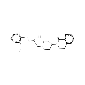 CCSc1nccnc1OCC(O)CN1CCC(N2CCc3ccccc3C2=O)CC1